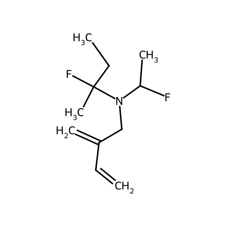 C=CC(=C)CN(C(C)F)C(C)(F)CC